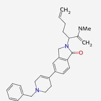 C=CCCC(C(=C)NC)N1Cc2cc(C3=CCN(Cc4ccccc4)CC3)ccc2C1=O